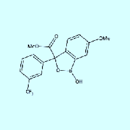 COC(=O)C1(c2cccc(C(F)(F)F)c2)OB(O)c2cc(OC)ccc21